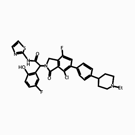 CCN1CCC(c2ccc(-c3cc(F)c4c(c3Cl)C(=O)N(C(C(=O)Nc3nccs3)c3cc(F)ccc3O)C4)cc2)CC1